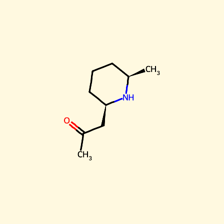 CC(=O)C[C@H]1CCC[C@@H](C)N1